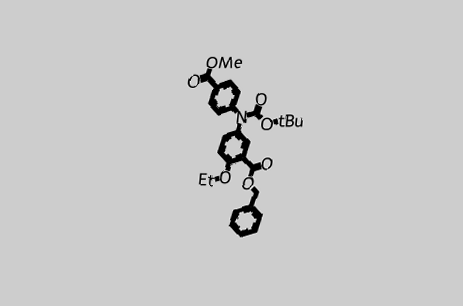 CCOc1ccc(N(C(=O)OC(C)(C)C)c2ccc(C(=O)OC)cc2)cc1C(=O)OCc1ccccc1